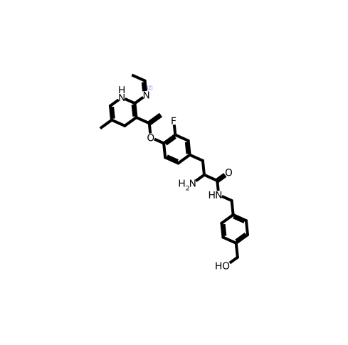 C=C(Oc1ccc(CC(N)C(=O)NCc2ccc(CO)cc2)cc1F)C1=C(/N=C\C)NC=C(C)C1